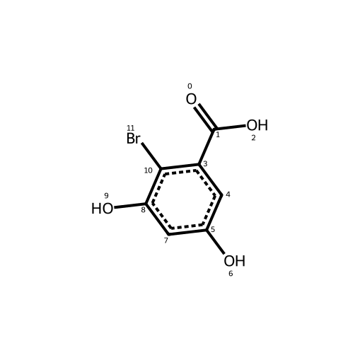 O=C(O)c1cc(O)cc(O)c1Br